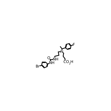 CC(c1ccc(F)cc1)N(CCCNC(=O)Nc1ccc(Br)cc1)CCCC(=O)O